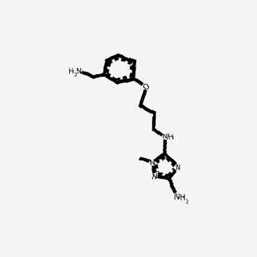 Cn1nc(N)nc1NCCCOc1cccc(CN)c1